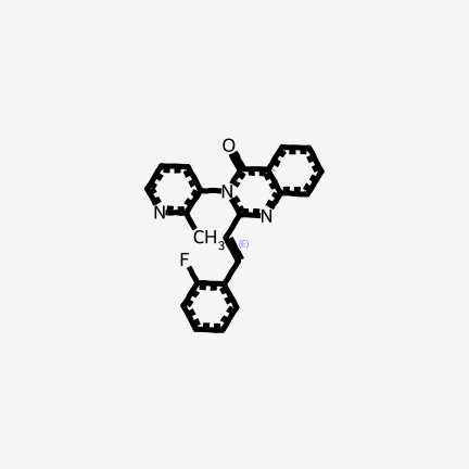 Cc1ncccc1-n1c(/C=C/c2ccccc2F)nc2ccccc2c1=O